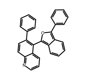 c1ccc(-c2ccc3ncccc3c2-c2oc(-c3ccccc3)c3ccccc23)cc1